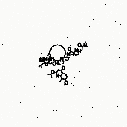 COc1ccc2c(O[C@@H]3C[C@H]4C(=O)N[C@]5(C(=O)NS(=O)(=O)C6CC6)CC5/C=C\CCCCC[C@H](NC(=O)c5ccn(CC(=O)N(C)C)n5)C(=O)N4C3)cc(OC(C)C)nc2c1C